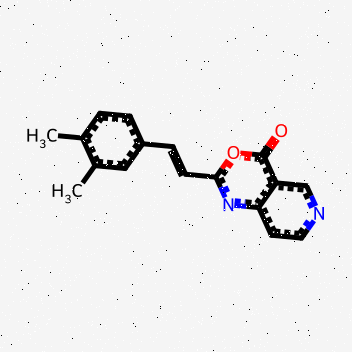 Cc1ccc(/C=C/c2nc3ccncc3c(=O)o2)cc1C